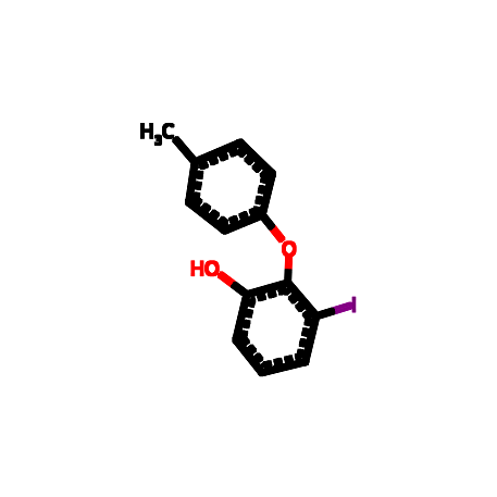 Cc1ccc(Oc2c(O)cccc2I)cc1